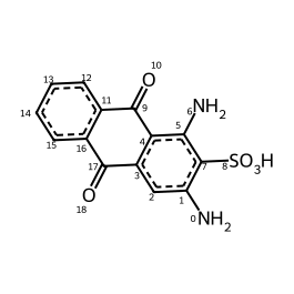 Nc1cc2c(c(N)c1S(=O)(=O)O)C(=O)c1ccccc1C2=O